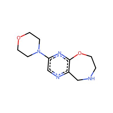 c1nc2c(nc1N1CCOCC1)OCCNC2